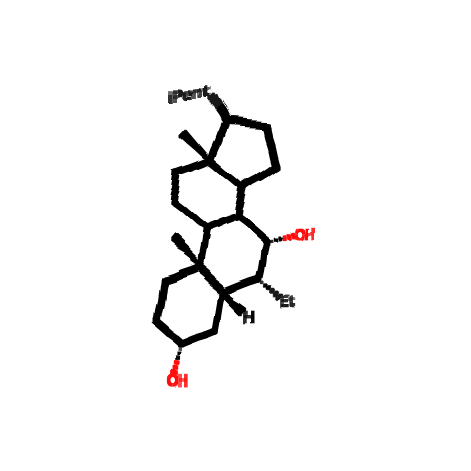 CCCC(C)C1CCC2C3C(CC[C@]12C)[C@@]1(C)CC[C@@H](O)C[C@H]1[C@@H](CC)[C@H]3O